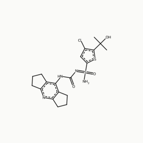 CC(C)(O)c1sc(S(N)(=O)=NC(=O)Nc2c3c(nc4c2CCC4)CCC3)cc1Cl